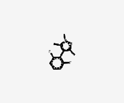 Cc1nn(C)c(C)c1-c1c(F)cccc1F